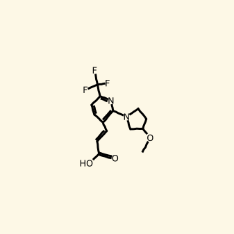 COC1CCN(c2nc(C(F)(F)F)ccc2C=CC(=O)O)C1